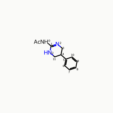 CC(=O)NC1=NCC(c2ccccc2)CN1